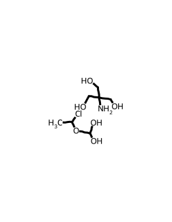 CC(Cl)OC(O)O.NC(CO)(CO)CO